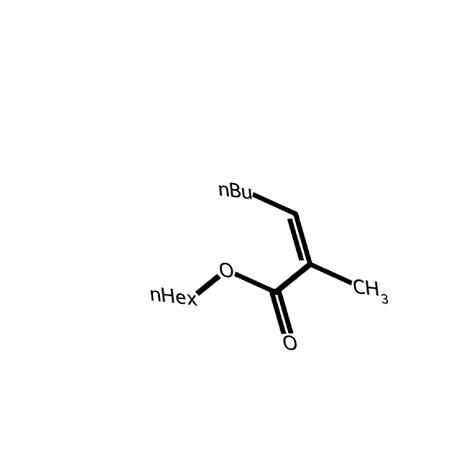 CCCCC=C(C)C(=O)OCCCCCC